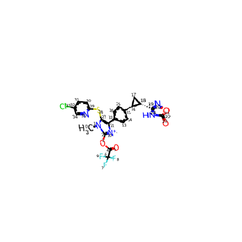 CN1C(OC(=O)C(F)(F)F)=[N+]C(c2ccc([C@H]3C[C@@H]3c3noc(=O)[nH]3)cc2)=C1Sc1ccc(Cl)cn1